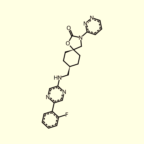 O=C1O[C@]2(CC[C@H](CNc3cnc(-c4ccccc4F)cn3)CC2)CN1c1cccnn1